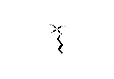 CCCC[Si](CCCC)(CCCC)OCC=CI